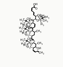 C=C/C=C\[C@H](C)[C@H](O)[C@@H](C)[C@@H](CC[C@H](C)C[C@H](C)[C@@H](O[Si](C)(C)C(C)(C)C)[C@@H](C)/C=C\[C@H](C[C@H](O[Si](C)(C)C(C)(C)C)[C@H](C)/C=C/C=C\C(=O)O)O[Si](C)(C)C(C)(C)C)O[Si](C)(C)C(C)(C)C